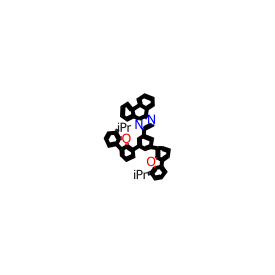 CC(C)c1cccc2c1oc1c(-c3cc(-c4cnc5c6ccccc6c6ccccc6c5n4)cc(-c4cccc5c4oc4c(C(C)C)cccc45)c3)cccc12